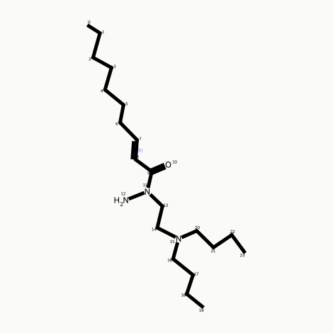 CCCCCCC/C=C/C(=O)N(N)CCN(CCCC)CCCC